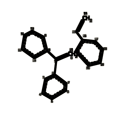 C=C(c1ccccc1)c1ccccc1.C=Cc1ccccc1